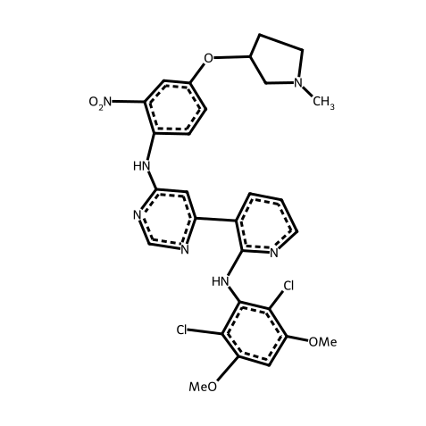 COc1cc(OC)c(Cl)c(Nc2ncccc2-c2cc(Nc3ccc(OC4CCN(C)C4)cc3[N+](=O)[O-])ncn2)c1Cl